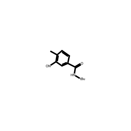 Cc1ccc(C(=O)NC(C)(C)C)cc1N=O